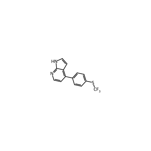 FC(F)(F)Sc1ccc(-c2ccnc3[nH]ccc23)cc1